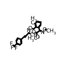 CO/N=C(/C(=O)OC)c1cccc(C)c1CO/N=C(\C)C#Cc1ccc(C(F)(F)F)cc1